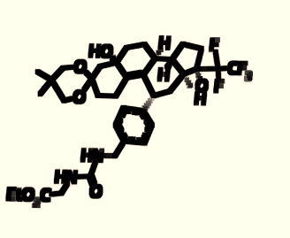 CCOC(=O)CNC(=O)NCc1ccc([C@H]2C[C@@]3(C)[C@@H](CC[C@@]3(O)C(F)(F)C(F)(F)F)[C@@H]3CC[C@@]4(O)CC5(CCC4=C32)OCC(C)(C)CO5)cc1